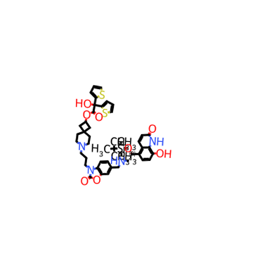 CC(C)(C)[Si](C)(C)O[C@@H](CNCc1ccc2c(c1)oc(=O)n2CCCN1CCC2(CC1)CC(OC(=O)C(O)(c1cccs1)c1cccs1)C2)c1ccc(O)c2[nH]c(=O)ccc12